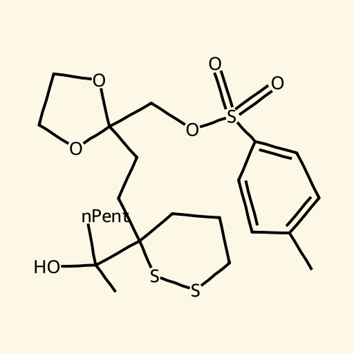 CCCCCC(C)(O)C1(CCC2(COS(=O)(=O)c3ccc(C)cc3)OCCO2)CCCSS1